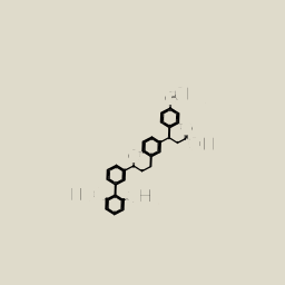 COc1ccc(C(CC(=O)O)c2ccc3c(c2)CCC(c2cccc(-c4c(C)cccc4C)c2)O3)cc1